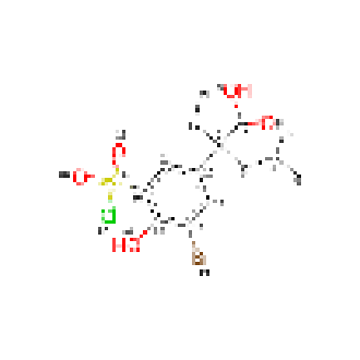 CCC(CC(C)C)(C(=O)O)c1cc(Br)c(O)c(S(=O)(=O)Cl)c1